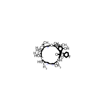 CO[C@H]1/C=C/O[C@@]2(C)Oc3c(C)c(O)c4c(=O)c(c5oc6cc(F)ccc6nc-5c4c3C2O)NC(=O)/C(C)=C\C=C\[C@H](C)[C@H](O)C[C@@H](O)[C@@H](C)[C@H](O)[C@@H]1C